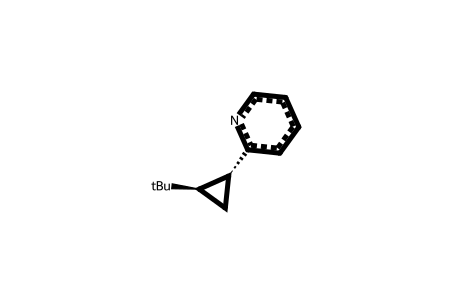 CC(C)(C)[C@@H]1C[C@H]1c1ccccn1